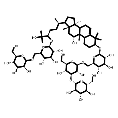 C[C@H](CC[C@@H](O[C@@H]1O[C@H](COC2O[C@H](CO)[C@@H](O)[C@H](O)[C@H]2O)[C@@H](O)[C@H](O)[C@H]1O)C(C)(C)O)C1CC[C@@]2(C)C3CC=C4C(CC[C@H](O[C@@H]5O[C@H](CO[C@@H]6O[C@H](CO)[C@@H](O)[C@H](O[C@@H]7O[C@H](CO)[C@@H](O)[C@H](O)[C@H]7O)[C@H]6O)[C@@H](O)[C@H](O)[C@H]5O)C4(C)C)[C@]3(C)[C@H](O)C[C@]12C